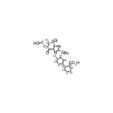 CCCCc1nc2c(n1Cc1ccc(-c3ccccc3C(=O)O)cc1)C(=O)C(CCO)=C(C)C2=O